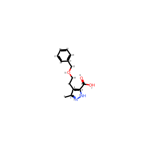 Cc1n[nH]c(C(=O)O)c1CCOCc1ccccc1